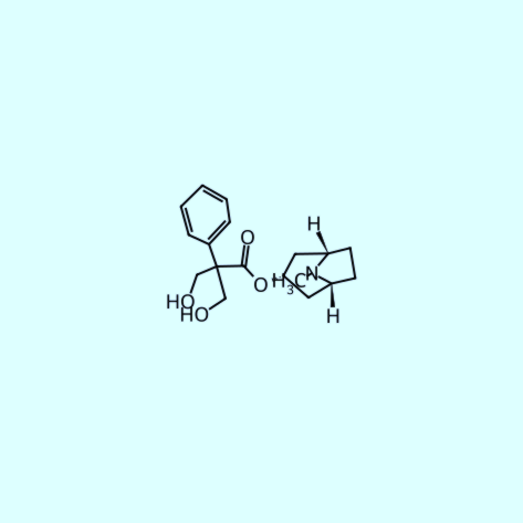 CN1[C@@H]2CC[C@H]1C[C@@H](OC(=O)C(CO)(CO)c1ccccc1)C2